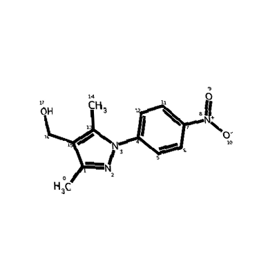 Cc1nn(-c2ccc([N+](=O)[O-])cc2)c(C)c1CO